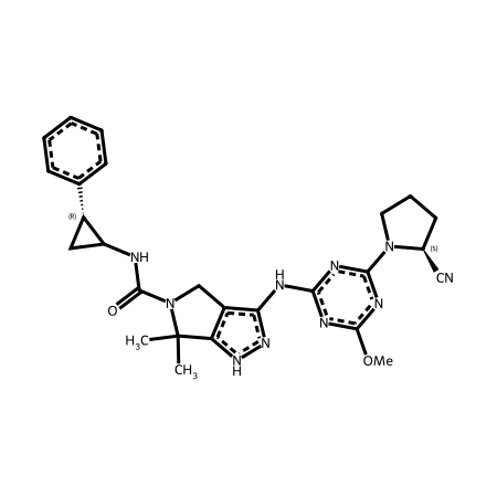 COc1nc(Nc2n[nH]c3c2CN(C(=O)NC2C[C@@H]2c2ccccc2)C3(C)C)nc(N2CCC[C@H]2C#N)n1